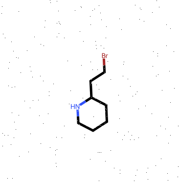 BrCCC1CCCCN1